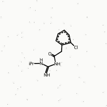 CC(C)NC(=N)NC(=O)Cc1ccccc1Cl